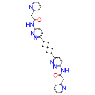 O=C(Cc1ccccn1)Nc1ccc(C2CC3(C2)CC(c2ccc(NC(=O)Cc4ccccn4)nn2)C3)nn1